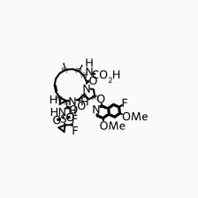 COc1cc2c(OC)cnc(O[C@@H]3C[C@H]4C(=O)N[C@]5(C(=O)NS(=O)(=O)C6(C(F)F)CC6)C[C@H]5C=CCC[C@@H](C)C[C@@H](C)[C@H](NC(=O)O)C(=O)N4C3)c2cc1F